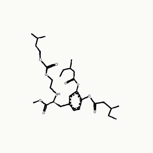 CCC(C)CC(=O)Oc1ccc(C[C@H](NCCOC(=O)OCCC(C)C)C(=O)OC)cc1OC(=O)CC(C)CC